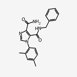 Cc1ccc(-n2cnc(C(N)=O)c2C(=O)NCc2ccccc2)c(C)c1